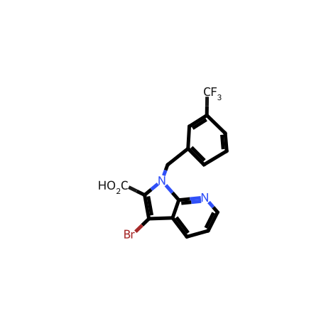 O=C(O)c1c(Br)c2cccnc2n1Cc1cccc(C(F)(F)F)c1